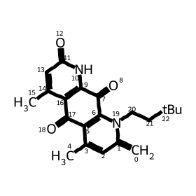 C=C1C=C(C)C2=C(C(=O)c3[nH]c(=O)cc(C)c3C2=O)N1CCC(C)(C)C